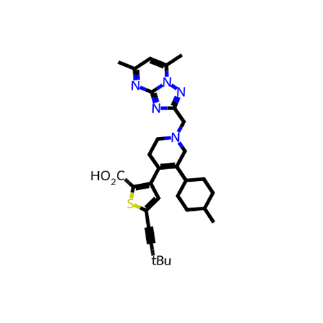 Cc1cc(C)n2nc(CN3CCC(c4cc(C#CC(C)(C)C)sc4C(=O)O)=C(C4CCC(C)CC4)C3)nc2n1